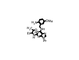 CCC(Nc1nc(NCc2cc(OC)ccc2N)c2ncn(C(C)C)c2n1)C(C)O